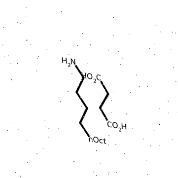 CCCCCCCCCCCCN.O=C(O)CCC(=O)O